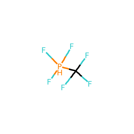 FC(F)(F)[PH](F)(F)F